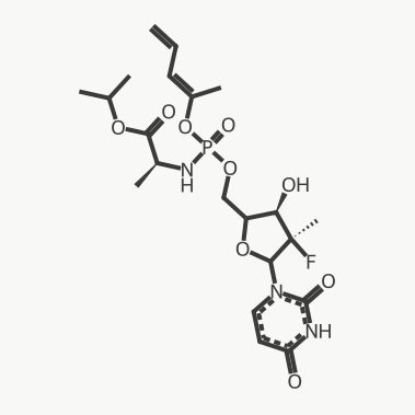 C=C/C=C(\C)OP(=O)(N[C@@H](C)C(=O)OC(C)C)OCC1OC(n2ccc(=O)[nH]c2=O)[C@](C)(F)[C@@H]1O